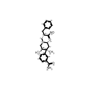 C[C@H]1CN(C[C@H](Cc2ccccc2)C(=O)N=O)CC[C@@]1(C)c1cccc(C(N)=O)c1